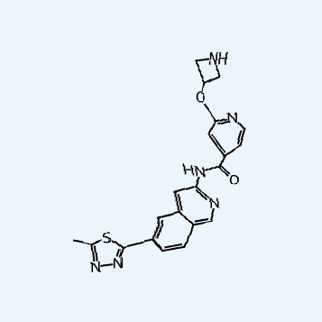 Cc1nnc(-c2ccc3cnc(NC(=O)c4ccnc(OC5CNC5)c4)cc3c2)s1